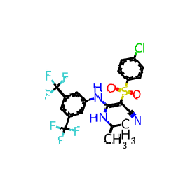 CC(C)NC(Nc1cc(C(F)(F)F)cc(C(F)(F)F)c1)=C(C#N)S(=O)(=O)c1ccc(Cl)cc1